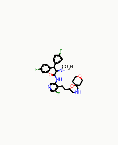 O=C(O)NC(C(=O)Nc1cncc(F)c1CCC1CNCC2(CCOCC2)O1)C(c1ccc(F)cc1)c1ccc(F)cc1